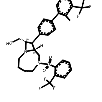 Cc1c(-c2ccc(C3[C@@H](CO)N4CCCCN(S(=O)(=O)c5ccccc5C(F)(F)F)C[C@@H]34)cc2)cccc1C(F)(F)F